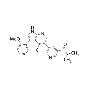 COc1ccccc1-c1c[nH]c2ncc(-c3cncc(C(=O)N(C)C)c3)c(Cl)c12